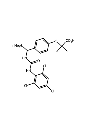 CCCCCCCC(NC(=O)Nc1c(Cl)cc(Cl)cc1Cl)c1ccc(OC(C)(C)C(=O)O)cc1